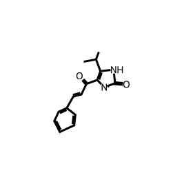 CC(C)C1=C(C(=O)C=Cc2ccccc2)[N]C(=O)N1